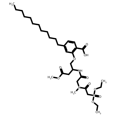 CCCCCCCCCCCCc1ccc(C(=O)O)c(OCC(CC(=O)OC)NC(=O)CN(C)C(=O)CP(=O)(OCC)OCC)c1